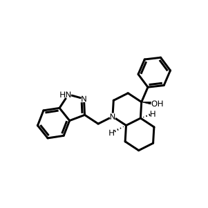 O[C@]1(c2ccccc2)CCN(Cc2n[nH]c3ccccc23)[C@@H]2CCCC[C@@H]21